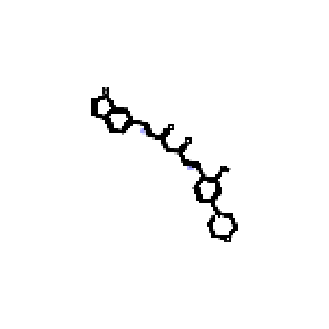 O=C(/C=C/c1ccc2cc[nH]c2c1)CC(=O)/C=C/c1ccc(N2CCOCC2)cc1Br